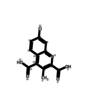 Cc1c(C(=O)O)nc2cc(Cl)ccc2c1C(=O)O